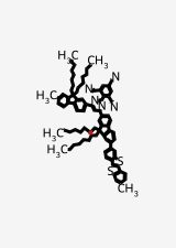 CCCCCCCCC1(CCCCCCCC)c2cc(C)ccc2-c2ccc(-c3cc(-c4ccc5c(c4)C(CCCCCCCC)(CCCCCCCC)c4cc(-c6ccc7c(c6)sc6c8ccc(C)cc8sc76)ccc4-5)nc(-c4c(C#N)cc(C#N)cc4C#N)n3)cc21